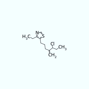 C=C(CCCc1scnc1CC)C(Cl)CC